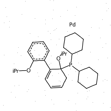 CC(C)Oc1ccccc1C1=CC=CCC1(OC(C)C)P(C1CCCCC1)C1CCCCC1.[Pd]